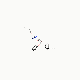 COCCOc1nc(N)nc2c1ncn2[C@H]1CC(OCc2ccc(OC)cc2)C(COCc2ccccc2)C1O